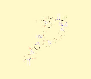 CNC(=O)COc1cc2cc(Nc3nc(N4CCC(O[C@H]5C[C@H](N6CCC(c7cc8c(cn7)C(=O)N(C7CCC(=O)NC7=O)C8)CC6)C5)CC4)ncc3Cl)ccc2n(C(C)C)c1=O